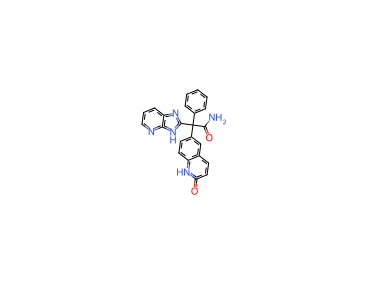 NC(=O)C(c1ccccc1)(c1ccc2[nH]c(=O)ccc2c1)c1nc2cccnc2[nH]1